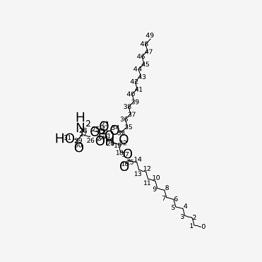 CCCCCCCCCCCCCCCC(=O)OCC(COP(=O)(O)OC[C@H](N)C(=O)O)OC(=O)CCCCCCCCCCCCCCC